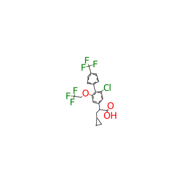 O=C(O)C(CC1CC1)c1cc(Cl)c(-c2ccc(C(F)(F)F)cc2)c(OCC(F)(F)F)c1